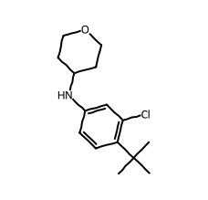 CC(C)(C)c1ccc(NC2CCOCC2)cc1Cl